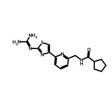 NC(N)=Nc1nc(-c2cccc(CNC(=O)C3CCCC3)n2)cs1